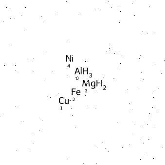 [AlH3].[Cu].[Fe].[MgH2].[Ni]